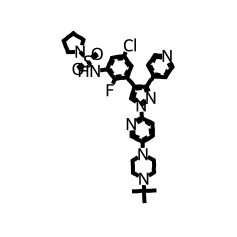 CC(C)(C)N1CCN(c2ccc(-n3cc(-c4cc(Cl)cc(NS(=O)(=O)N5CCCC5)c4F)c(-c4ccncc4)n3)nc2)CC1